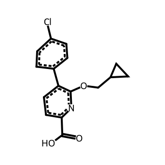 O=C(O)c1ccc(-c2ccc(Cl)cc2)c(OCC2CC2)n1